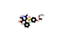 CCCCOC(C)Oc1ccc(S(=O)(=O)C2=C(C)NC(C)=C(C(=O)OC)C2c2ccccc2Cl)cc1